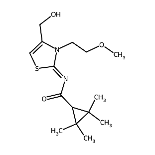 COCCn1c(CO)cs/c1=N\C(=O)C1C(C)(C)C1(C)C